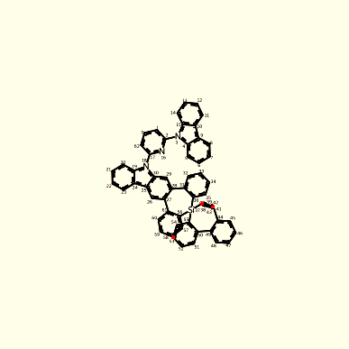 c1cc(-n2c3ccccc3c3ccccc32)nc(-n2c3ccccc3c3cc4c(cc32)-c2ccccc2[Si]2(c3ccccc3-c3ccccc3-c3ccccc32)c2ccccc2-4)c1